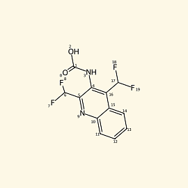 O=C(O)Nc1c(C(F)F)nc2ccccc2c1C(F)F